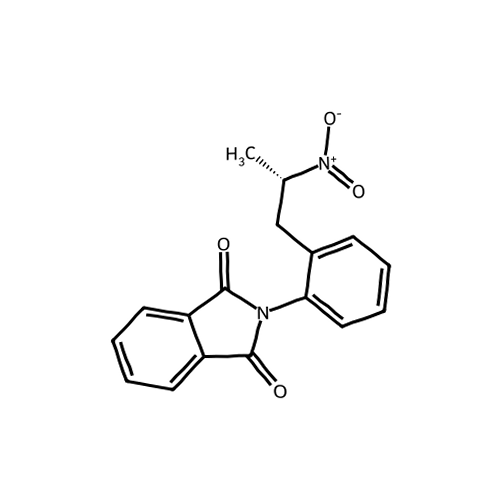 C[C@@H](Cc1ccccc1N1C(=O)c2ccccc2C1=O)[N+](=O)[O-]